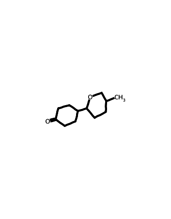 CC1CCC(C2CCC(=O)CC2)OC1